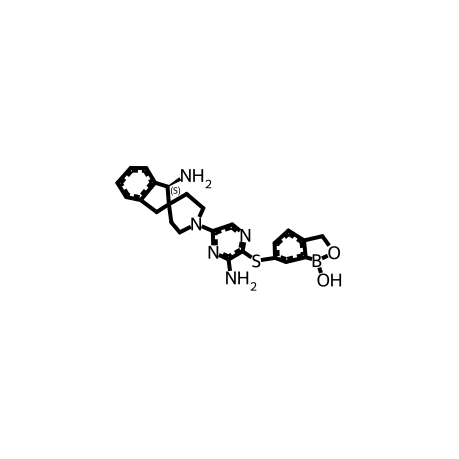 Nc1nc(N2CCC3(CC2)Cc2ccccc2[C@H]3N)cnc1Sc1ccc2c(c1)B(O)OC2